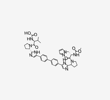 COC(=O)N[C@@H](Cn1cccn1)C(=O)N1CCCC1c1ncc(-c2ccc(-c3ccc(-c4cnc([C@@H]5CCCN5C(=O)[C@@H](NC(=O)O)C(C)C)[nH]4)cc3)cc2)[nH]1